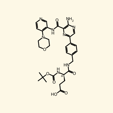 CC(C)(C)OC(=O)N[C@H](CCC(=O)O)C(=O)NCc1ccc(-c2cnc(N)c(C(=O)Nc3cnccc3N3CCOCC3)n2)cc1